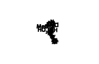 COc1ccc2ncc(Cl)c(CCNC3(C(=O)O)CCN(C4CC(c5ccccc5)C4)C3)c2c1